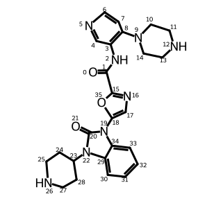 O=C(Nc1cnccc1N1CCNCC1)c1ncc(-n2c(=O)n(C3CCNCC3)c3ccccc32)o1